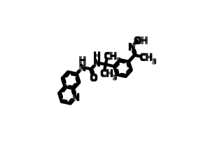 CC(=NO)c1cccc(C(C)(C)NC(=O)Nc2ccc3cccnc3c2)c1